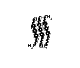 CCCCCCCOc1ccc(-c2ccc(-c3ccc(CCCC)cn3)cc2)cc1.CCCCCCOc1ccc(-c2ccc(-c3ccc(CCCC)cn3)cc2)cc1.CCCCCOc1ccc(-c2ccc(-c3ccc(CCCC)cn3)cc2)cc1